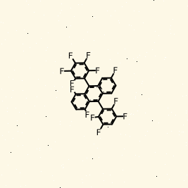 Fc1ccc2c(-c3c(F)c(F)cc(F)c3F)c3c(F)ccc(F)c3c(-c3c(F)c(F)c(F)c(F)c3F)c2c1